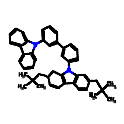 CC(C)(C)Cc1ccc2c3c(n(-c4cccc(-c5cccc(-n6c7ccccc7c7ccccc76)c5)c4)c2c1)CC(CC(C)(C)C)C=C3